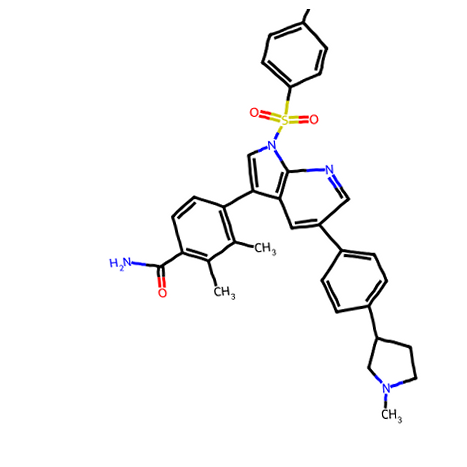 Cc1ccc(S(=O)(=O)n2cc(-c3ccc(C(N)=O)c(C)c3C)c3cc(-c4ccc(C5CCN(C)C5)cc4)cnc32)cc1